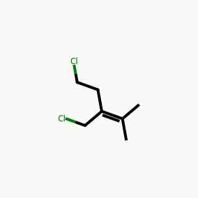 CC(C)=C(CCl)CCCl